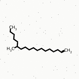 C=CCCCCCCCCCCC(C)CCCCC